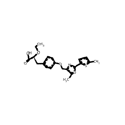 CCO[C@@H](Cc1ccc(OCc2nc(-c3ccc(C)s3)oc2C)cc1)C(=O)O